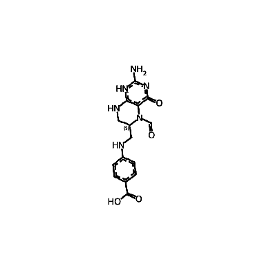 Nc1nc(=O)c2c([nH]1)NC[C@H](CNc1ccc(C(=O)O)cc1)N2C=O